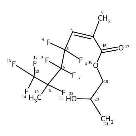 CC(=CC(F)(F)C(F)(F)C(C)(F)C(F)(F)F)C(=O)OCC(C)O